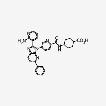 Nc1ncccc1-c1nc2ccc(-c3ccccc3)nc2n1-c1ccc(C(=O)NC2CCC(C(=O)O)CC2)nc1